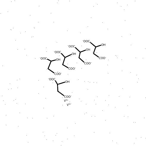 O=C([O-])CC(O)C(=O)[O-].O=C([O-])CC(O)C(=O)[O-].O=C([O-])CC(O)C(=O)[O-].O=C([O-])CC(O)C(=O)[O-].O=C([O-])CC(O)C(=O)[O-].[V+5].[V+5]